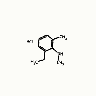 CCc1cccc(C)c1NC.Cl